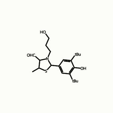 CC1SC(c2cc(C(C)(C)C)c(O)c(C(C)(C)C)c2)N(CCCO)C1C=O